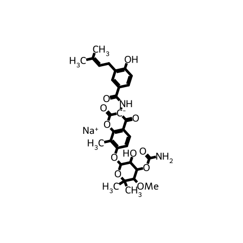 COC1C(OC(N)=O)C(O)C(Oc2ccc3c(=O)[c-](NC(=O)c4ccc(O)c(CC=C(C)C)c4)c(=O)oc3c2C)OC1(C)C.[Na+]